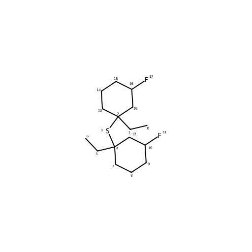 CCC1(SC2(CC)CCCC(F)C2)CCCC(F)C1